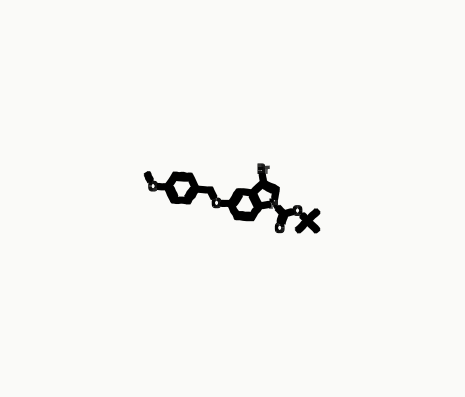 COc1ccc(COc2ccc3c(c2)c(Br)cn3C(=O)OC(C)(C)C)cc1